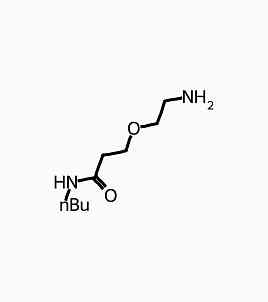 CCCCNC(=O)CCOCCN